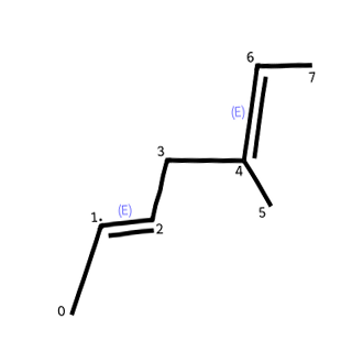 C/[C]=C/C/C(C)=C/C